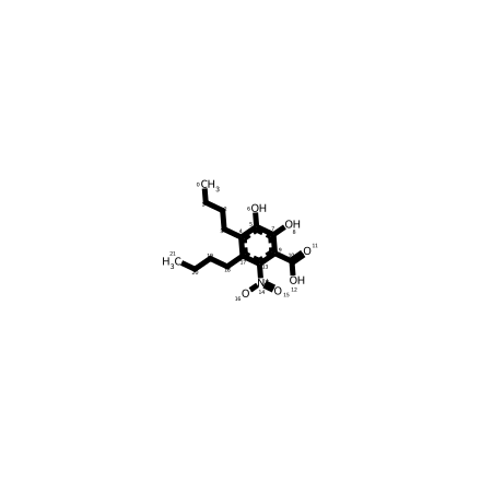 CCCCc1c(O)c(O)c(C(=O)O)c([N+](=O)[O-])c1CCCC